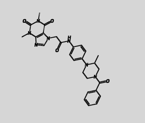 CC1CN(C(=O)c2ccccc2)CCN1c1ccc(NC(=O)Cn2cnc3c2c(=O)n(C)c(=O)n3C)cc1